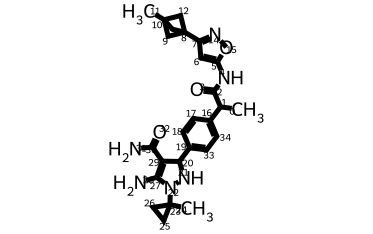 CC(C(=O)Nc1cc(C23CC(C)(C2)C3)no1)c1ccc(C2NN(C3(C)CC3)C(N)=C2C(N)=O)cc1